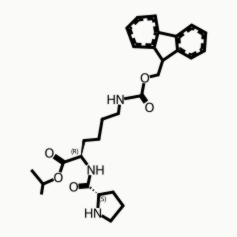 CC(C)OC(=O)[C@@H](CCCCNC(=O)OCC1c2ccccc2-c2ccccc21)NC(=O)[C@@H]1CCCN1